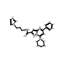 O=C(NCCCn1ccnc1)c1cc2nc(-c3ccccc3)cc(N3CCCCC3)n2n1